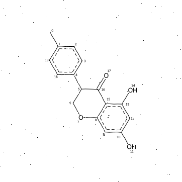 Cc1ccc(C2COc3cc(O)cc(O)c3C2=O)cc1